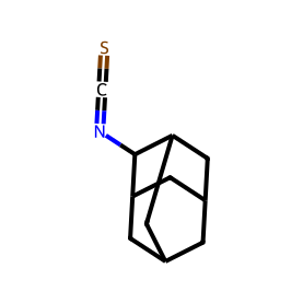 S=C=NC1C2CC3CC(C2)CC1C3